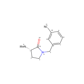 CN[C@H]1CCN(Cc2cccc(C#N)c2)C1=O